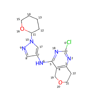 Clc1nc2c(c(Nc3cnn(C4CCCCO4)c3)n1)COCC2